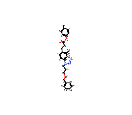 Cc1ccc(OC(=O)CCc2ccc3c(nnn3CCCOCc3ccccc3)c2C)cc1